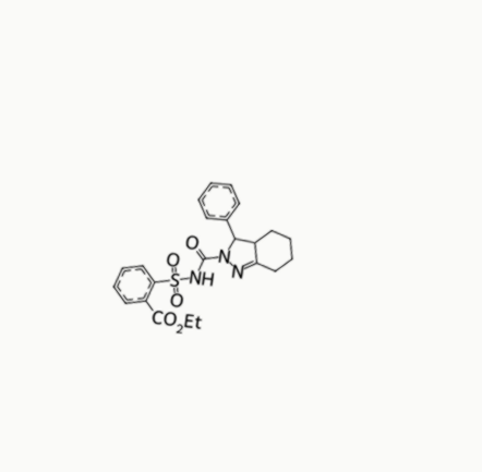 CCOC(=O)c1ccccc1S(=O)(=O)NC(=O)N1N=C2CCCCC2C1c1ccccc1